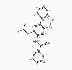 CC(C)=Cc1nc2c(nc1NC(=O)c1ccccc1)CCc1ccccc1-2